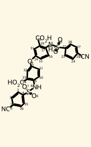 N#Cc1ccc(S(=O)(=O)Nc2ccc(Oc3ccc(NS(=O)(=O)c4ccc(C#N)cc4)c(C(=O)O)c3)cc2C(=O)O)cc1